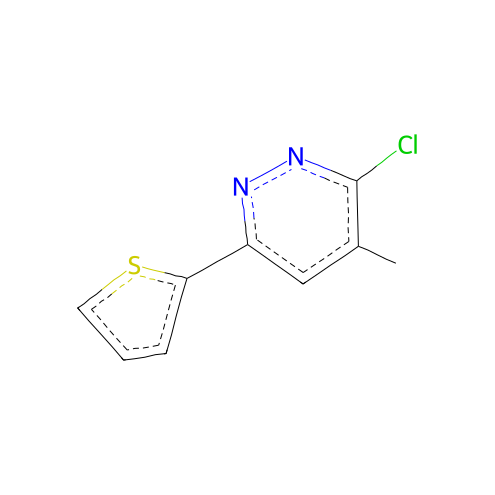 Cc1cc(-c2cccs2)nnc1Cl